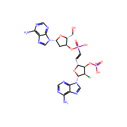 Nc1ncnc2c1ncn2[C@@H]1O[C@H](/C=C/P(=O)(O)O[C@H]2C[C@H](n3cnc4c(N)ncnc43)O[C@@H]2CO)[C@@H](O[PH](=O)O)[C@H]1F